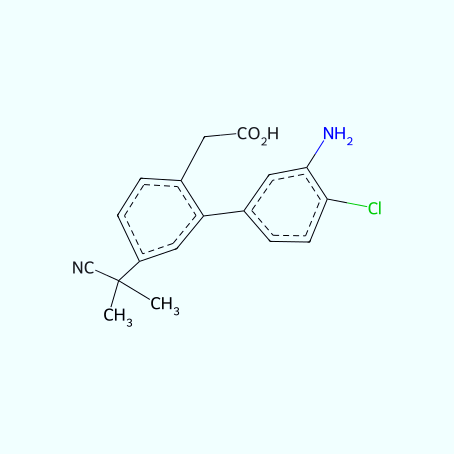 CC(C)(C#N)c1ccc(CC(=O)O)c(-c2ccc(Cl)c(N)c2)c1